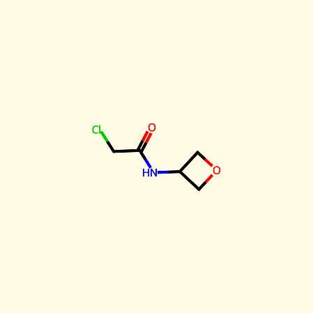 O=C(CCl)NC1COC1